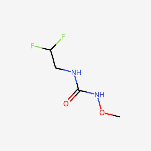 CONC(=O)NCC(F)F